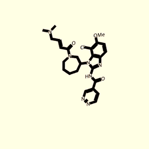 COc1ccc2nc(NC(=O)c3ccnnc3)n(C3CCCCN(C(=O)C=CCN(C)C)C3)c2c1Cl